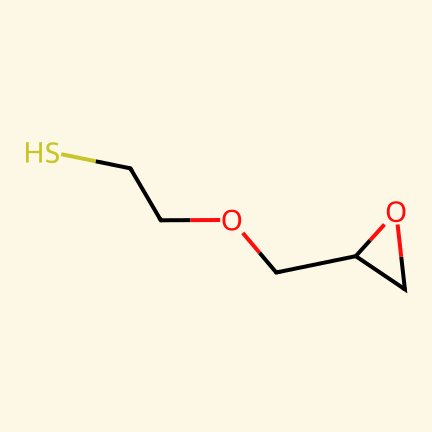 SCCOCC1CO1